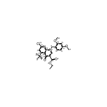 CCOC(=O)c1cn(Cc2ccc(OC)cc2OC)c2nc(Cl)cc(C(F)(F)F)c2c1=O